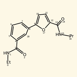 CCNC(=O)c1cccc(-c2ccc(C(=O)NC(C)C)o2)c1